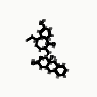 CCN1CCN(C[C@H]2OC(=O)CC3Cc4ccccc4C[C@H]32)C(=O)c2ccc(Br)cc21